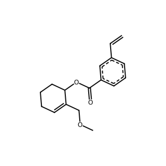 C=Cc1cccc(C(=O)OC2CCCC=C2COC)c1